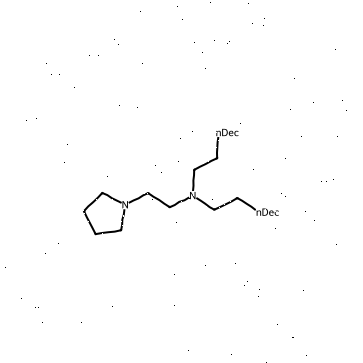 CCCCCCCCCCCCN(CCCCCCCCCCCC)CCN1CCCC1